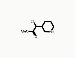 CCC(C(=O)OC)C1CCCNC1